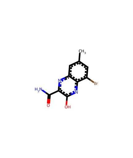 Cc1cc(Br)c2nc(O)c(C(N)=O)nc2c1